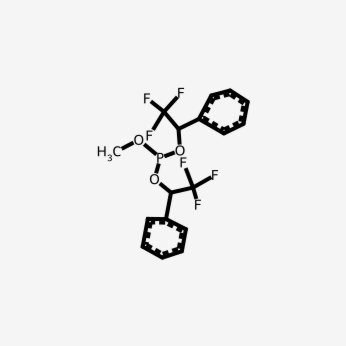 COP(OC(c1ccccc1)C(F)(F)F)OC(c1ccccc1)C(F)(F)F